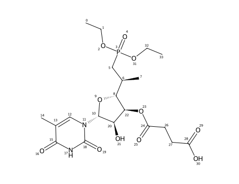 CCOP(=O)(C[C@@H](C)[C@H]1O[C@@H](n2cc(C)c(=O)[nH]c2=O)[C@H](O)[C@@H]1OC(=O)CCC(=O)O)OCC